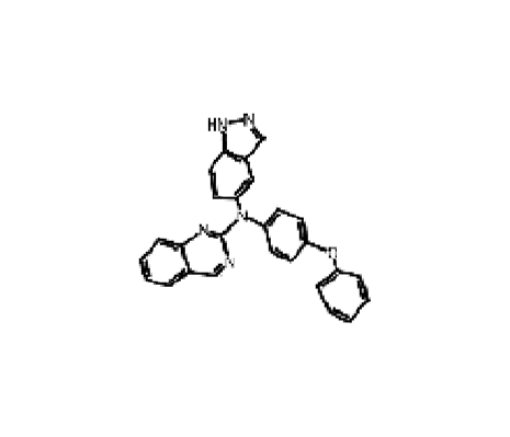 [c]1nc(N(c2ccc(Oc3ccccc3)cc2)c2ccc3[nH]ncc3c2)nc2ccccc12